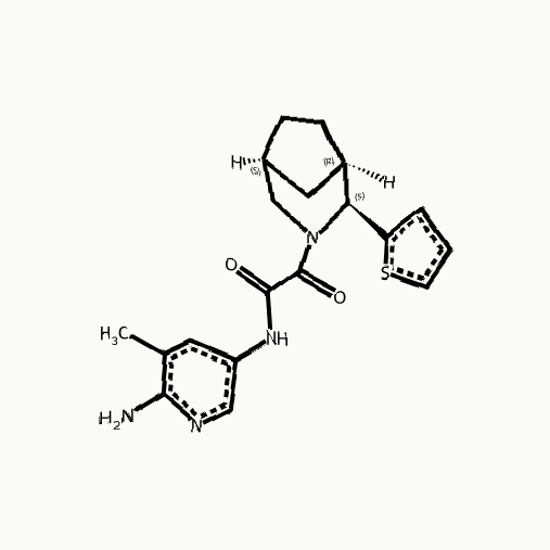 Cc1cc(NC(=O)C(=O)N2C[C@H]3CC[C@H](C3)[C@H]2c2cccs2)cnc1N